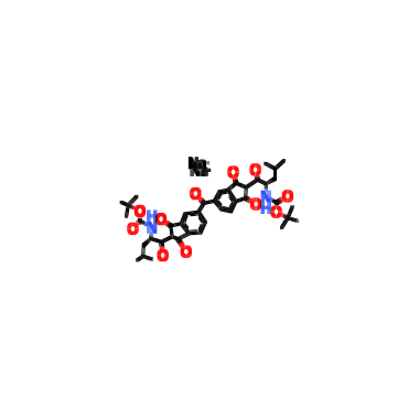 CC(C)C[C@@H](NC(=O)OC(C)(C)C)C(=O)C1C(=O)c2ccc(C(=O)c3ccc4c(c3)C(=O)C(C(=O)[C@@H](CC(C)C)NC(=O)OC(C)(C)C)C4=O)cc2C1=O.[Na].[Na]